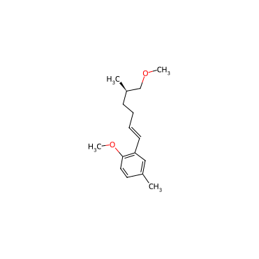 COC[C@H](C)CC/C=C/c1cc(C)ccc1OC